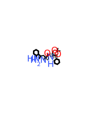 CC1(C)OC[C@H](NC(=O)[C@](C)(N)Cc2c[nH]c3ccccc23)[C@H](c2ccccc2)O1